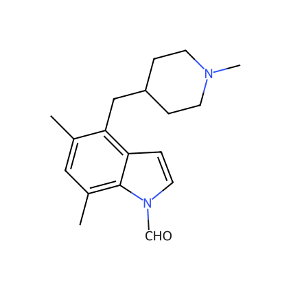 Cc1cc(C)c2c(ccn2C=O)c1CC1CCN(C)CC1